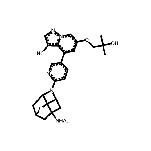 CC(=O)NC12CC3CC4N(c5ccc(-c6cc(OCC(C)(C)O)cn7ncc(C#N)c67)cn5)C(C1)C42C3